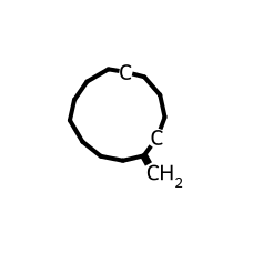 C=C1CCCCCCCCCCCC1